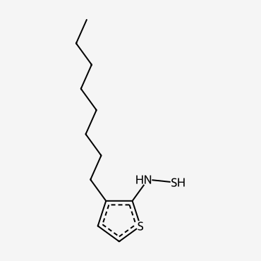 CCCCCCCCc1ccsc1NS